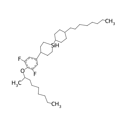 CCCCCCCCC1CCC([SiH]2CCC(c3cc(F)c(OC(C)CCCCCCC)c(F)c3)CC2)CC1